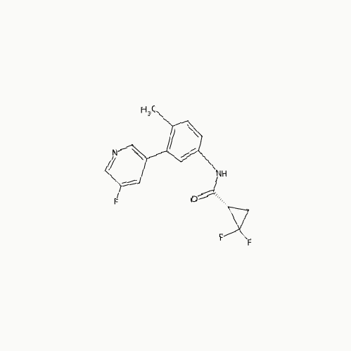 Cc1ccc(NC(=O)[C@@H]2CC2(F)F)cc1-c1cncc(F)c1